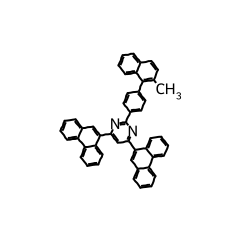 Cc1ccc2ccccc2c1-c1ccc(-c2nc(-c3cc4ccccc4c4ccccc34)cc(-c3cc4ccccc4c4ccccc34)n2)cc1